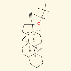 C#CC1(O[Si](C)(C)C(C)(C)C)CC[C@H]2[C@@H]3CCC4CCCC[C@]4(C)[C@@H]3CC[C@@]21C